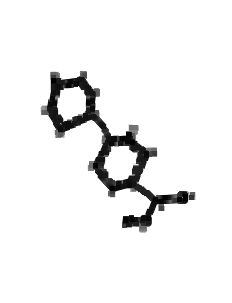 COC(=O)c1ccc(-c2ccncc2)nc1